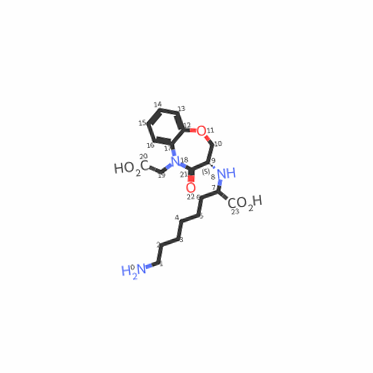 NCCCCCCC(N[C@H]1COc2ccccc2N(CC(=O)O)C1=O)C(=O)O